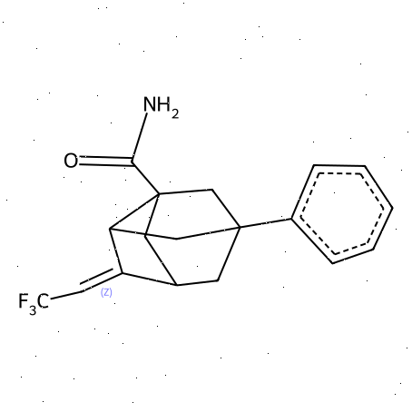 NC(=O)C12CC3CC(c4ccccc4)(CC1/C3=C\C(F)(F)F)C2